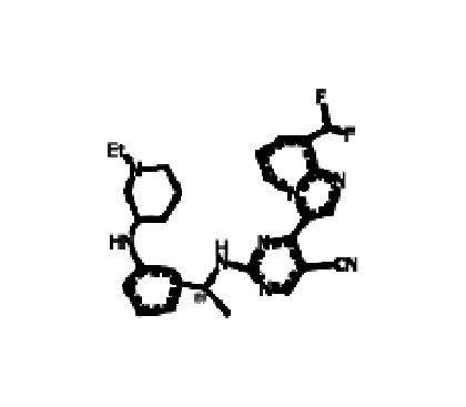 CCN1CCCC(Nc2cccc([C@H](C)Nc3ncc(C#N)c(-c4cnc5c(C(F)F)cccn45)n3)c2)C1